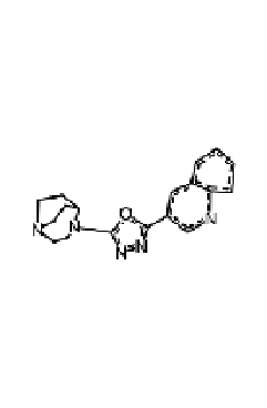 c1ccc2ncc(-c3nnc(N4CCN5CCC4CC5)o3)cc2c1